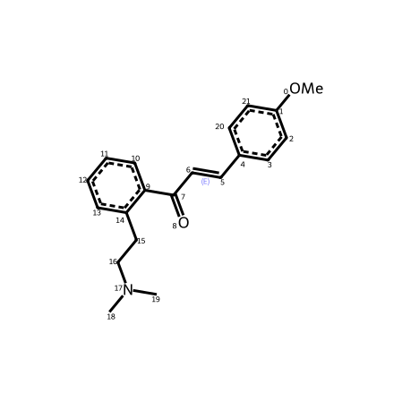 COc1ccc(/C=C/C(=O)c2ccccc2CCN(C)C)cc1